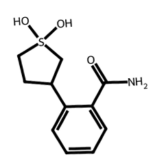 NC(=O)c1ccccc1C1CCS(O)(O)C1